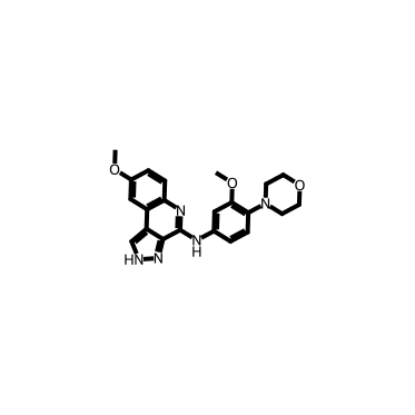 COc1ccc2nc(Nc3ccc(N4CCOCC4)c(OC)c3)c3n[nH]cc3c2c1